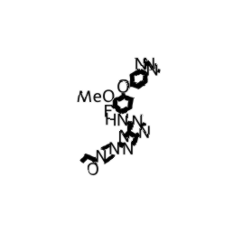 C=CC(=O)N1CCN(c2ncc3ncnc(Nc4ccc(Oc5ccc6c(c5)nnn6C)c(OC)c4F)c3n2)CC1